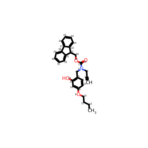 C#CCN(Cc1ccc(OCCCC)cc1O)C(=O)OCC1c2ccccc2-c2ccccc21